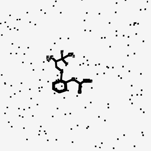 CNC(=O)Oc1ccccc1SCC(C(F)(F)F)C(F)(F)C(F)(F)F